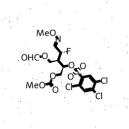 CON=C[C@H](F)[C@H](COC=O)[C@H](COC(=O)OC)OS(=O)(=O)c1cc(Cl)c(Cl)cc1Cl